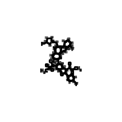 CNC(=O)c1c(-c2ccc(F)cc2)oc2cc(N(C)S(C)(=O)=O)c(-c3ccc4nc(CN5CCC(F)C5)n5c6cccc(F)c6cc5c4n3)cc12